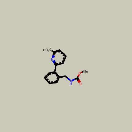 CC(C)(C)OC(=O)NCc1ccccc1-c1cccc(C(=O)O)n1